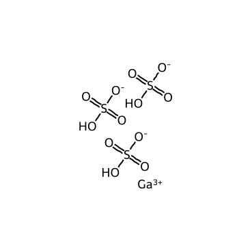 O=S(=O)([O-])O.O=S(=O)([O-])O.O=S(=O)([O-])O.[Ga+3]